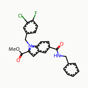 COC(=O)c1cc2cc(C(=O)NCc3ccccc3)ccc2n1Cc1ccc(F)c(Cl)c1